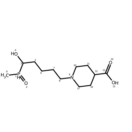 C[PH](=O)C(O)CCCCN1CCC(C(=O)O)CC1